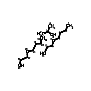 CC(C)O.CCCCOCCO.CCCCOCCO